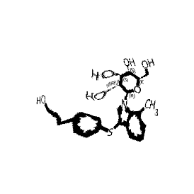 Cc1cccc2c(Sc3ccc(CCCO)cc3)cn([C@@H]3O[C@H](CO)[C@@H](O)[C@H](O)[C@H]3O)c12